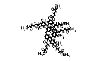 COC(=O)CCCC(=O)Oc1ccc(Cc2ccc(OC(=O)CCCC(=O)OC)c(C(c3cc(C)c(OC(=O)CCCC(=O)OC)c(C)c3)c3cc(C)c(OC(=O)CCCC(=O)OC)c(C)c3)c2)cc1C(c1cc(C)c(OC(=O)CCCC(=O)OC)c(C)c1)c1cc(C)c(OC(=O)CCCC(=O)OC)c(C)c1